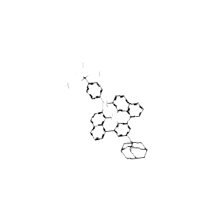 CC(C)(C)c1ccc(N2c3ccc4cccc5c4c3B3c4c-5cc(C56CC7CC(CC(C7)C5)C6)cc4-c4cccc5ccc2c3c45)cc1